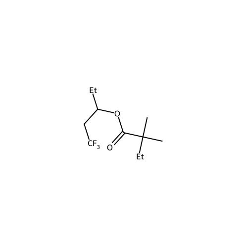 CCC(CC(F)(F)F)OC(=O)C(C)(C)CC